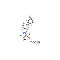 CCOC(=O)COc1ccc(F)c(NCc2cc(-c3cccc(F)c3)ccc2F)c1C